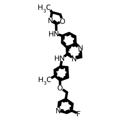 Cc1cc(Nc2ncnc3ccc(NC4=NC(C)CO4)cc23)ccc1OCc1cncc(F)c1